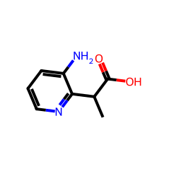 CC(C(=O)O)c1ncccc1N